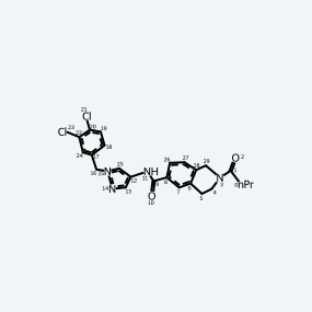 CCCC(=O)N1CCc2cc(C(=O)Nc3cnn(Cc4ccc(Cl)c(Cl)c4)c3)ccc2C1